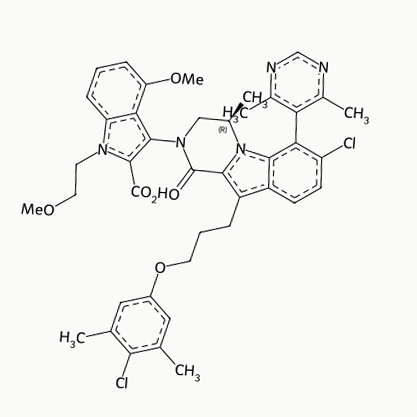 COCCn1c(C(=O)O)c(N2C[C@@H](C)n3c(c(CCCOc4cc(C)c(Cl)c(C)c4)c4ccc(Cl)c(-c5c(C)ncnc5C)c43)C2=O)c2c(OC)cccc21